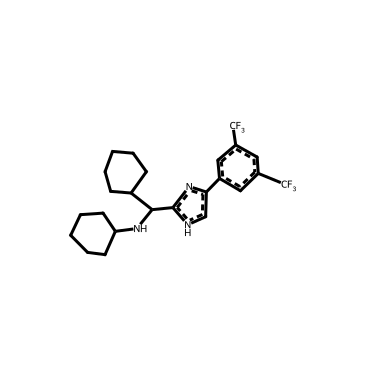 FC(F)(F)c1cc(-c2c[nH]c(C(NC3CCCCC3)C3CCCCC3)n2)cc(C(F)(F)F)c1